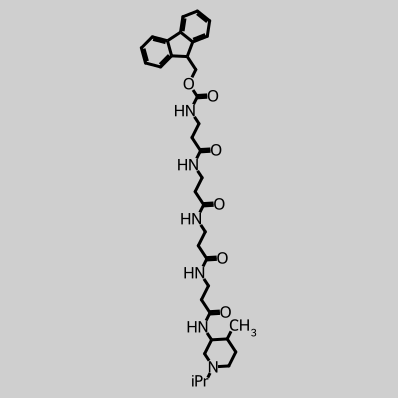 CC1CCN(C(C)C)CC1NC(=O)CCNC(=O)CCNC(=O)CCNC(=O)CCNC(=O)OCC1c2ccccc2-c2ccccc21